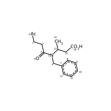 CC(=O)CCC(=O)N(Cc1ccccc1)C(C)CC(=O)O